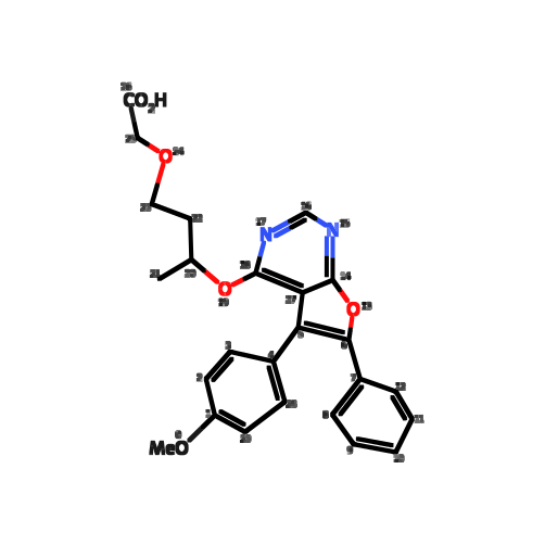 COc1ccc(-c2c(-c3ccccc3)oc3ncnc(OC(C)CCOCC(=O)O)c23)cc1